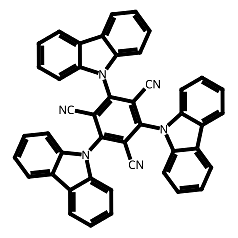 N#Cc1c(-n2c3ccccc3c3ccccc32)c(C#N)c(-n2c3ccccc3c3ccccc32)c(C#N)c1-n1c2ccccc2c2ccccc21